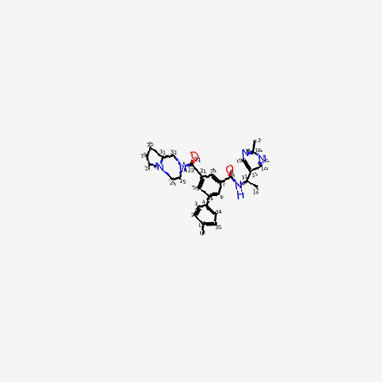 Cc1ccc(-c2cc(C(=O)NC(C)c3cnc(C)nc3)cc(C(=O)N3CCN4CCCC4C3)c2)cc1